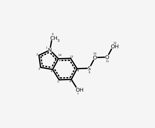 Cn1ccc2cc(O)c(SOOO)cc21